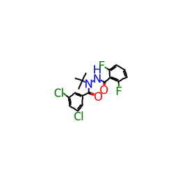 CC(C)(C)N(NC(=O)c1c(F)cccc1F)C(=O)c1cc(Cl)cc(Cl)c1